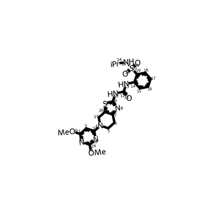 COc1cc(N2CCc3nc(NC(=O)Nc4ccccc4S(=O)(=O)NC(C)C)sc3C2)nc(OC)n1